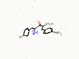 N[C@@H](Cc1ccc(Br)cc1)C(=O)C(Cc1ccc([N+](=O)[O-])cc1)C(=O)O